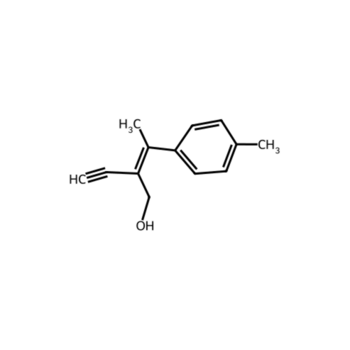 C#CC(CO)=C(C)c1ccc(C)cc1